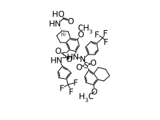 COc1ccc(S(=O)(=O)N(Nc2cc(OC)c3c(c2S(=O)(=O)Nc2ccc(C(F)(F)F)cc2)CC[C@H](NC(=O)O)C3)c2ccc(C(F)(F)F)cc2)c2c1CCCC2